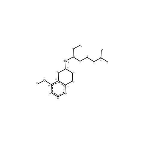 CCC(CCCN(C)C)NC1CCc2cccc(OC)c2C1